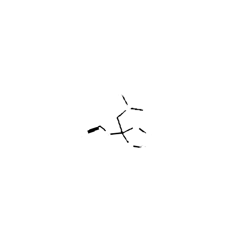 C=C[SiH2]C(CN(C)C)(OCC)OCC